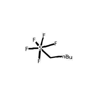 CCCCCS(F)(F)(F)(F)F